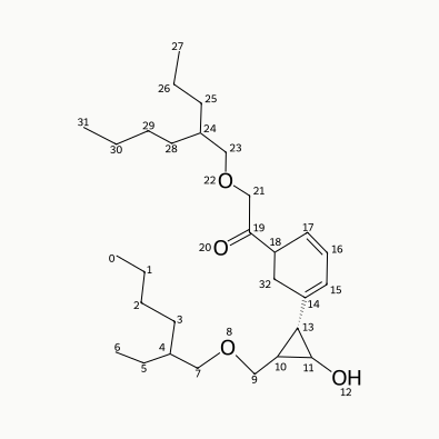 CCCCC(CC)COCC1C(O)[C@H]1C1=CC=CC(C(=O)COCC(CCC)CCCC)C1